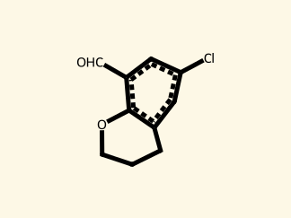 O=Cc1cc(Cl)cc2c1OCCC2